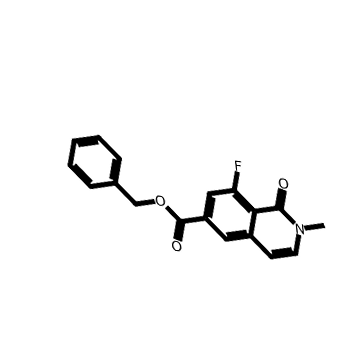 Cn1ccc2cc(C(=O)OCc3ccccc3)cc(F)c2c1=O